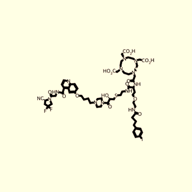 N#C[C@H]1CC(F)(F)CN1C(=O)CNC(=O)c1ccnc2ccc(OCCCCN3CCN(C(=O)[C@H](O)CSCCNC(=O)C(CCOCCNC(=O)CCCc4ccc(I)cc4)NC(=O)CN4CCN(CC(=O)O)CCN(CC(=O)O)CCN(CC(=O)O)CC4)CC3)cc12